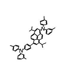 Cc1ccc(N(c2ccc(-c3cc(C(C)C)c4ccc5c(N(c6ccc(C)cc6)c6cccc(C)c6)cc(C(C)C)c6ccc3c4c65)cc2)c2cccc(C)c2)cc1